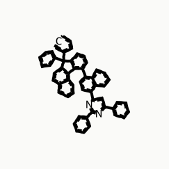 c1ccc(-c2cc(-c3ccc(-c4cccc5c4-c4c(ccc6ccccc46)C5(c4ccccc4)c4ccccc4)c4ccccc34)nc(-c3ccccc3)n2)cc1